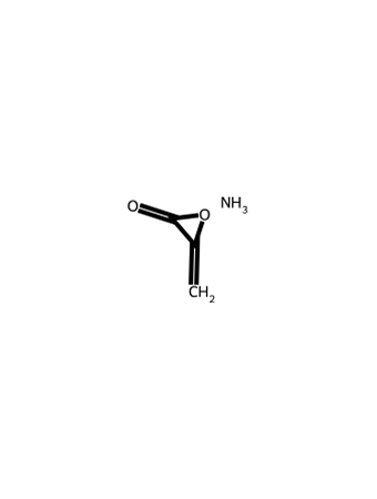 C=C1OC1=O.N